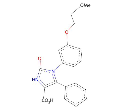 COCCOc1cccc(-n2c(-c3ccccc3)c(C(=O)O)[nH]c2=O)c1